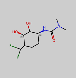 CN(C)C(=O)N[C@H]1CCC(C(F)F)[C@@H](O)C1O